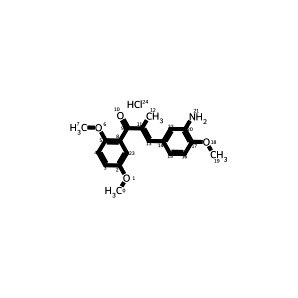 COc1ccc(OC)c(C(=O)C(C)=Cc2ccc(OC)c(N)c2)c1.Cl